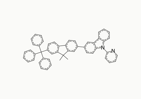 CC1(C)c2cc(-c3ccc4c(c3)c3ccccc3n4-c3ccccn3)ccc2-c2ccc(C(c3ccccc3)(c3ccccc3)c3ccccc3)cc21